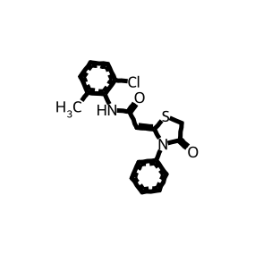 Cc1cccc(Cl)c1NC(=O)/C=C1\SCC(=O)N1c1ccccc1